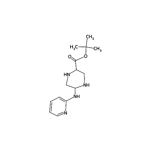 CC(C)(C)OC(=O)C1CNC(Nc2ccccn2)CN1